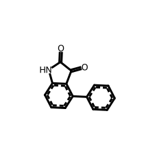 O=C1Nc2cccc(-c3ccccc3)c2C1=O